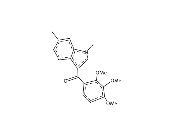 COc1ccc(C(=O)c2cn(C)c3cc(C)ccc23)c(OC)c1OC